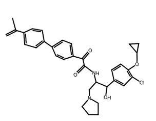 C=C(C)c1ccc(-c2ccc(C(=O)C(=O)NC(CN3CCCC3)C(O)c3ccc(OC4CC4)c(Cl)c3)cc2)cc1